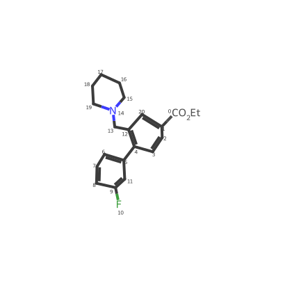 CCOC(=O)c1ccc(-c2cccc(F)c2)c(CN2CCCCC2)c1